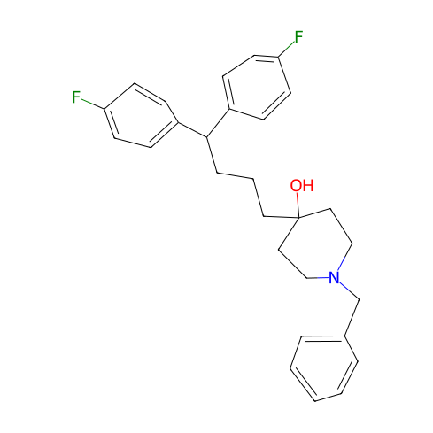 OC1(CCCC(c2ccc(F)cc2)c2ccc(F)cc2)CCN(Cc2ccccc2)CC1